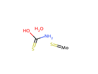 NC(O)=S.O.[S]=[Mo]